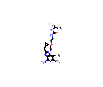 Cc1nc(N)c2nc(CC3CC3)n(CCOCCNC(=O)NC(C)C)c2c1C